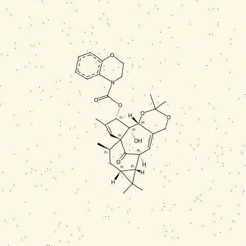 CC1=C[C@]23C(=O)[C@@H](C=C4COC(C)(C)O[C@H]4[C@]2(O)[C@H]1OC(=O)N1CCOc2ccccc21)[C@H]1[C@@H](C[C@H]3C)C1(C)C